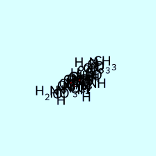 CC(C)CC(NC(=O)CNC(=O)C(Cc1ccccc1)N(C)C(=O)C(C)NC(=O)C(C)N)C(=O)NC(C)C(=O)NC(C(=O)NC(Cc1ccccc1)C(=O)NC(CC(O)=S)C(=O)N(C)C(C)C(=O)NC(CO)C(=O)NCC(N)=O)C(C)C